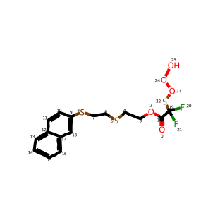 O=C(OCCSCCSc1ccc2ccccc2c1)C(F)(F)SOOO